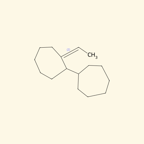 C/C=C1/CCCCCC1C1CCCCCC1